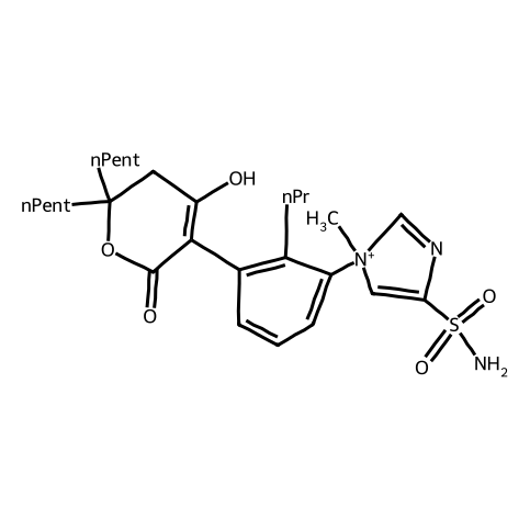 CCCCCC1(CCCCC)CC(O)=C(c2cccc([N+]3(C)C=NC(S(N)(=O)=O)=C3)c2CCC)C(=O)O1